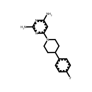 Nc1cc(N2CCC(c3ccc(F)cc3)CC2)nc(N)n1